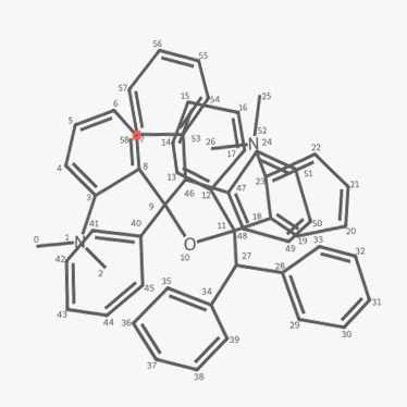 CN(C)c1ccccc1C(OC(c1ccccc1)(c1ccccc1N(C)C)C(c1ccccc1)c1ccccc1)(c1ccccc1)C(c1ccccc1)c1ccccc1